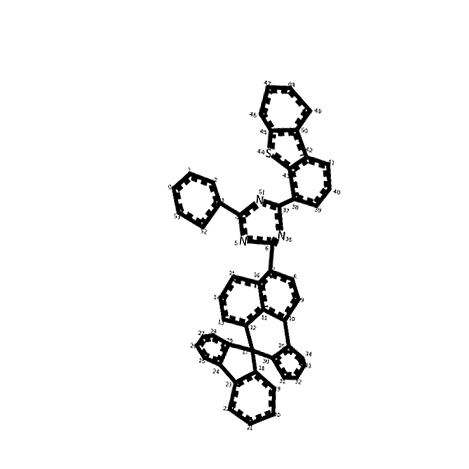 c1ccc(-c2nc(-c3ccc4c5c(cccc35)C3(c5ccccc5-c5ccccc53)c3ccccc3-4)nc(-c3cccc4c3sc3ccccc34)n2)cc1